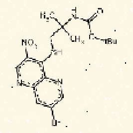 CC(C)(CNc1c([N+](=O)[O-])cnc2cc(Br)cnc12)NC(=O)OC(C)(C)C